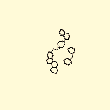 C1=CC2=C(CC1)CCc1c2ccc2ccc(CCN3CCN(c4cccc5ccccc45)CC3)cc12.c1ccc(Cc2ccccn2)cc1